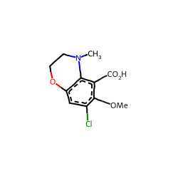 COc1c(Cl)cc2c(c1C(=O)O)N(C)CCO2